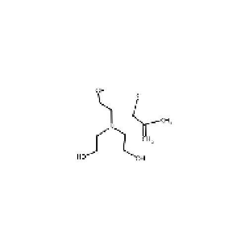 C=C(C)CCl.OCCN(CCO)CCO